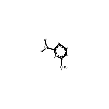 CN(C)c1cccc(C=O)n1